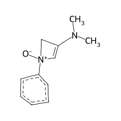 CN(C)C1=C[N+]([O-])(c2ccccc2)C1